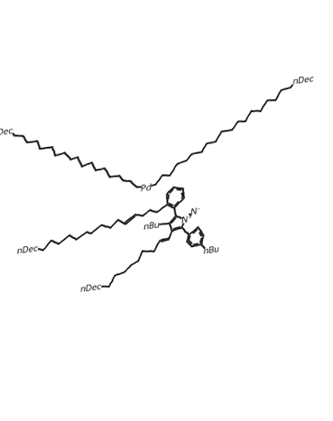 CCCCCCCCCCCCCCCCCC=CC1=C(c2ccc(CCCC)cc2)[N+](=[N-])C(c2ccccc2CCCC=CCCCCCCCCCCCCCCCCCCCC)=C1CCCC.CCCCCCCCCCCCCCCCCCCCCCCCCCCC[CH2][Pd][CH2]CCCCCCCCCCCCCCCCCCCCCCCCCCCC